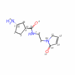 N[C@H]1CC[C@H](C(=O)NCCN2CC=CC2=O)C1